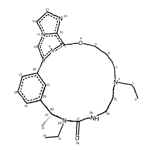 CCN1CCCOc2nc(cn3ccnc23)-c2cccc(c2)[C@@H](C)N(CC)C(=O)NCC1